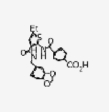 CCc1cc(C(=O)NCc2ccc3c(c2)OCO3)c(NC(=O)c2ccc(C(=O)O)cc2)s1